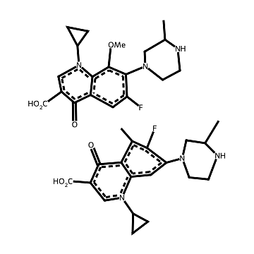 COc1c(N2CCNC(C)C2)c(F)cc2c(=O)c(C(=O)O)cn(C3CC3)c12.Cc1c(F)c(N2CCNC(C)C2)cc2c1c(=O)c(C(=O)O)cn2C1CC1